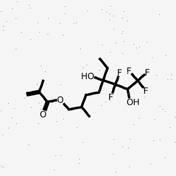 C=C(C)C(=O)OCC(C)CCC(O)(CC)C(F)(F)C(O)C(F)(F)F